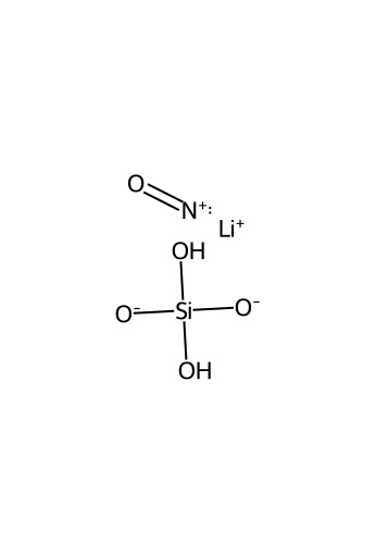 [Li+].[N+]=O.[O-][Si]([O-])(O)O